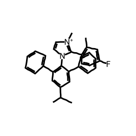 Cc1cc(F)ccc1-c1n(-c2c(-c3ccccc3)cc(C(C)C)cc2-c2ccccc2)cc[n+]1C